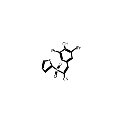 CC(C)c1cc(/C=C(/C#N)S(=O)(=O)c2cccs2)cc(C(C)C)c1O